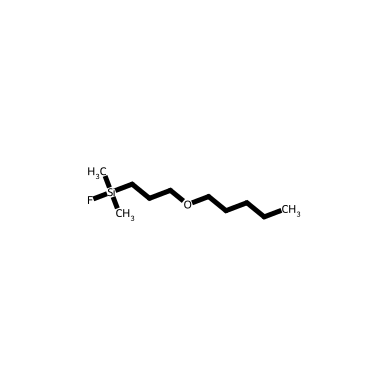 CCCCCOCCC[Si](C)(C)F